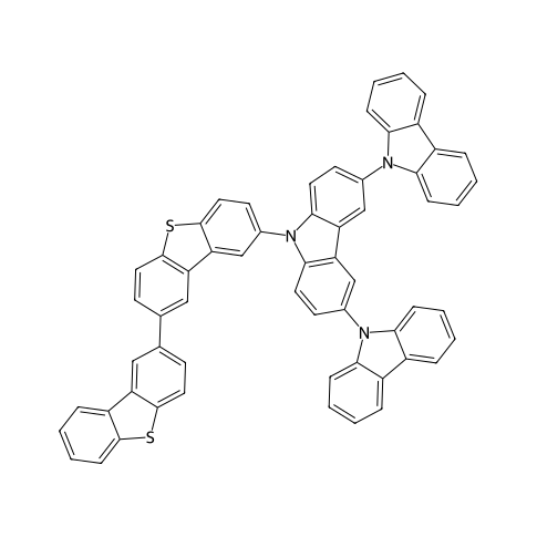 c1ccc2c(c1)sc1ccc(-c3ccc4sc5ccc(-n6c7ccc(-n8c9ccccc9c9ccccc98)cc7c7cc(-n8c9ccccc9c9ccccc98)ccc76)cc5c4c3)cc12